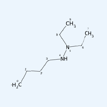 [CH2]CCCNN(CC)CC